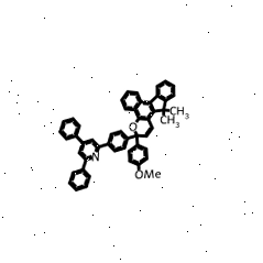 COc1ccc(C2(c3ccc(-c4cc(-c5ccccc5)cc(-c5ccccc5)n4)cc3)C=Cc3c4c(c5ccccc5c3O2)-c2ccccc2C4(C)C)cc1